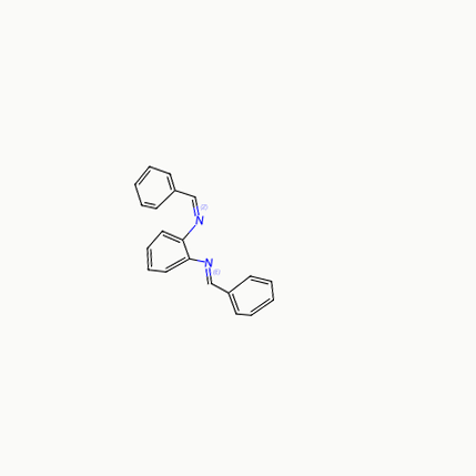 C(=N/c1ccccc1/N=C/c1ccccc1)/c1ccccc1